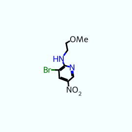 COCCNc1ncc([N+](=O)[O-])cc1Br